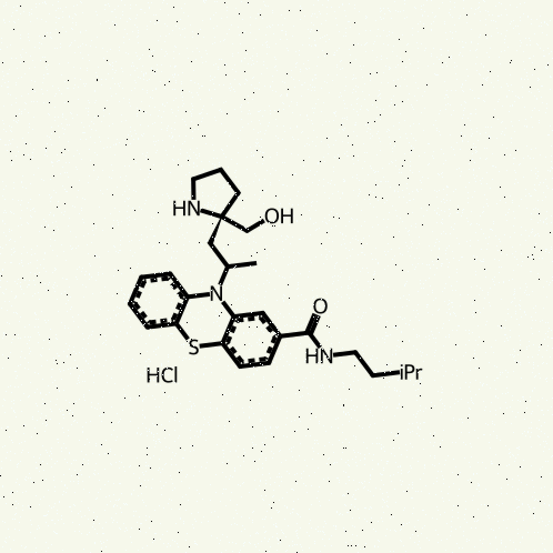 CC(C)CCNC(=O)c1ccc2c(c1)N(C(C)C[C@]1(CO)CCCN1)c1ccccc1S2.Cl